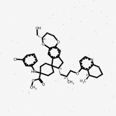 COC(=O)C1(Nc2cccc(Cl)c2)CCC2(CC1)c1cc3c(cc1C[C@@H]2C[C@@H](C)COc1ccnc2c1[C@H](C)CCC2)OCC[C@@H](CO)O3